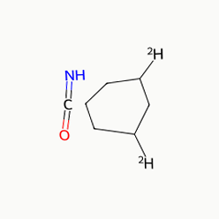 N=C=O.[2H]C1CCCC([2H])C1